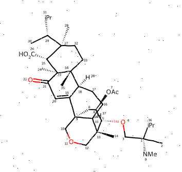 CN[C@](C)(CO[C@H]1[C@H](OC(C)=O)C[C@@]23COC[C@]1(C)[C@@H]2CC[C@H]1C3=CC(=O)[C@@]2(C)[C@H](C(=O)O)[C@@](C)([C@H](C)C(C)C)CC[C@]12C)C(C)C